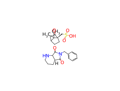 CC1(C)C2CC[C@@]1(CS(=O)(=O)O)C(=O)C2.O=C1C2NCCC[C@@H]2C(=O)N1Cc1ccccc1